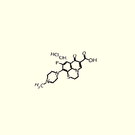 CN1CCN(c2c(F)cc3c(=O)c(C(=O)O)cn4c3c2SCC4)CC1.Cl.Cl